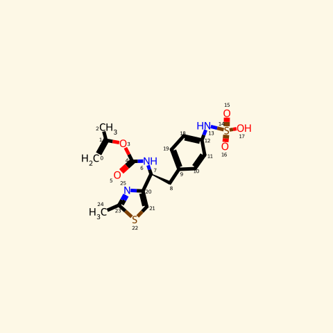 C=C(C)OC(=O)N[C@@H](Cc1ccc(NS(=O)(=O)O)cc1)c1csc(C)n1